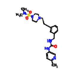 Cc1ccc(NC(=O)NCc2cccc(CCN3CCN(S(=O)(=O)N(C)C)CC3)c2)cn1